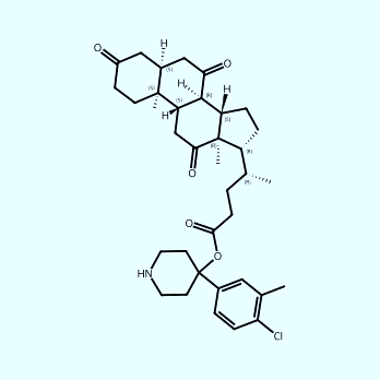 Cc1cc(C2(OC(=O)CC[C@@H](C)[C@H]3CC[C@H]4[C@@H]5C(=O)C[C@@H]6CC(=O)CC[C@]6(C)[C@H]5CC(=O)[C@]34C)CCNCC2)ccc1Cl